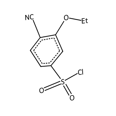 CCOc1cc(S(=O)(=O)Cl)ccc1C#N